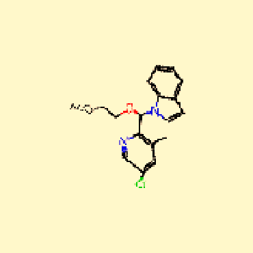 CC(=O)OCCOC(c1ncc(Cl)cc1C)n1ccc2ccccc21